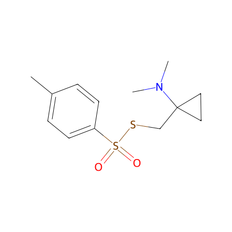 Cc1ccc(S(=O)(=O)SCC2(N(C)C)CC2)cc1